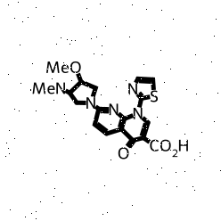 CNC1CN(c2ccc3c(=O)c(C(=O)O)cn(-c4nccs4)c3n2)CC1OC